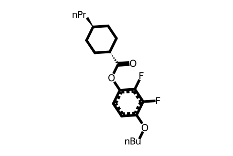 CCCCOc1ccc(OC(=O)[C@H]2CC[C@H](CCC)CC2)c(F)c1F